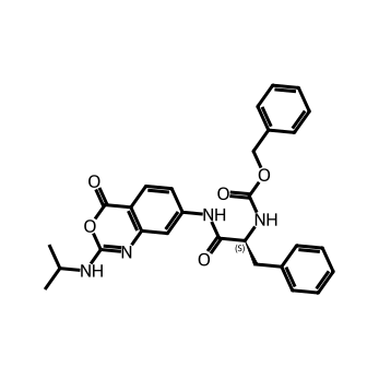 CC(C)Nc1nc2cc(NC(=O)[C@H](Cc3ccccc3)NC(=O)OCc3ccccc3)ccc2c(=O)o1